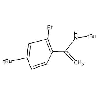 C=C(NC(C)(C)C)c1ccc(C(C)(C)C)cc1CC